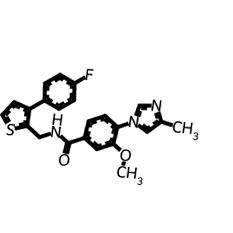 COc1cc(C(=O)NCc2sccc2-c2ccc(F)cc2)ccc1-n1cnc(C)c1